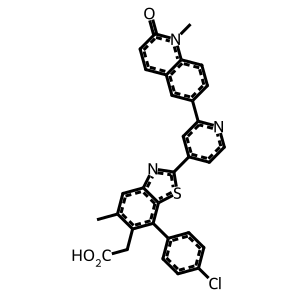 Cc1cc2nc(-c3ccnc(-c4ccc5c(ccc(=O)n5C)c4)c3)sc2c(-c2ccc(Cl)cc2)c1CC(=O)O